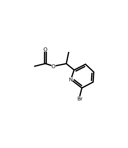 CC(=O)OC(C)c1cccc(Br)n1